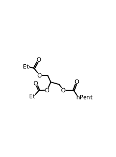 CCCCCC(=O)OCC(COC(=O)CC)OC(=O)CC